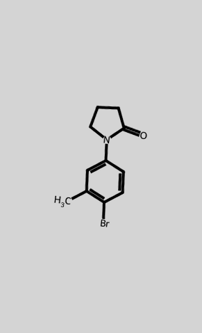 Cc1cc(N2CCCC2=O)ccc1Br